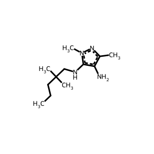 CCCC(C)(C)CNc1c(N)c(C)nn1C